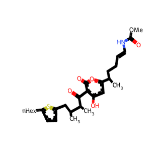 CCCCCCc1ccc(CC(C)C(C)C(=O)c2c(O)cc(C(C)CC/C=C/NC(=O)OC)oc2=O)s1